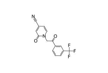 N#Cc1ccn(CC(=O)c2cccc(C(F)(F)F)c2)c(=O)c1